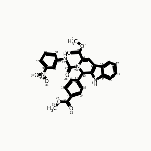 COC(=O)C1=Cc2c([nH]c3ccccc23)C(c2ccc(C(=O)OC)cc2)N1C(=O)Nc1cccc([N+](=O)[O-])c1